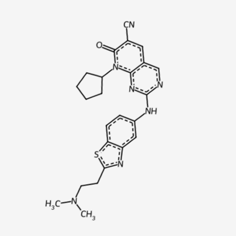 CN(C)CCc1nc2cc(Nc3ncc4cc(C#N)c(=O)n(C5CCCC5)c4n3)ccc2s1